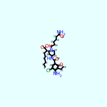 CCCCCCCC(=O)O.NC(=O)CCCCCN1CCC(NC(=O)c2cc(Cl)c(N)c3c2OCC3)CC1